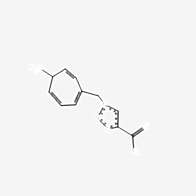 CCC(=O)c1cn(CC2=CC=CC(C)C=C2)nn1